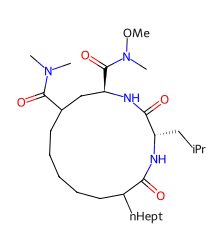 CCCCCCCC1CCCCCC(C(=O)N(C)C)C[C@@H](C(=O)N(C)OC)NC(=O)[C@H](CC(C)C)NC1=O